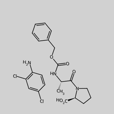 C[C@H](NC(=O)OCc1ccccc1)C(=O)N1CCC[C@H]1C(=O)O.Nc1ccc(Cl)cc1Cl